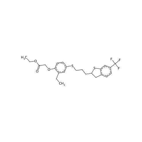 CCOC(=O)COc1ccc(SCCCC2Cc3ccc(C(F)(F)F)cc3S2)cc1CC